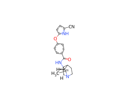 C[C@H]1[C@H](NC(=O)c2ccc(Oc3ccc(C#N)[nH]3)cc2)C2CCN1CC2